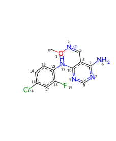 CO/N=C\c1c(N)ncnc1Nc1ccc(Cl)cc1F